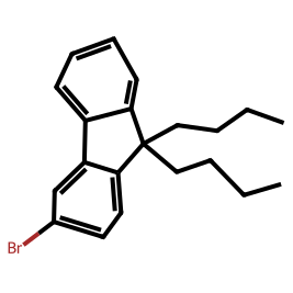 CCCCC1(CCCC)c2ccccc2-c2cc(Br)ccc21